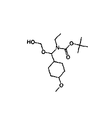 CCN(C(=O)OC(C)(C)C)C(OCO)C1CCC(OC)CC1